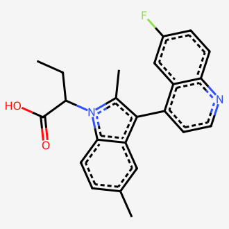 CCC(C(=O)O)n1c(C)c(-c2ccnc3ccc(F)cc23)c2cc(C)ccc21